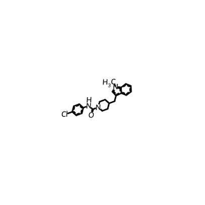 Cn1cc(CC2CCN(C(=O)Nc3ccc(Cl)cc3)CC2)c2ccccc21